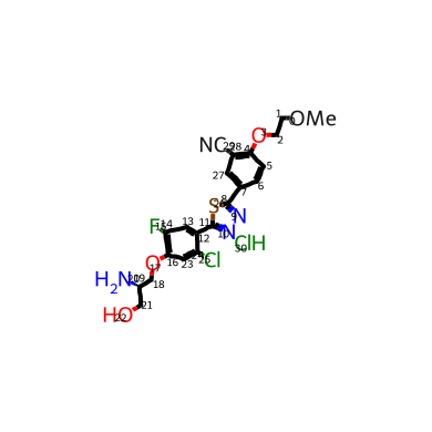 COCCOc1ccc(-c2nnc(-c3cc(F)c(OC[C@H](N)CO)cc3Cl)s2)cc1C#N.Cl